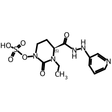 CCN1C(=O)N(OS(=O)(=O)O)CC[C@H]1C(=O)NNc1cccnc1